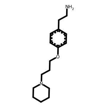 NCCc1ccc(OCCCN2CCCCC2)cc1